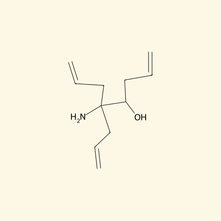 C=CCC(O)C(N)(CC=C)CC=C